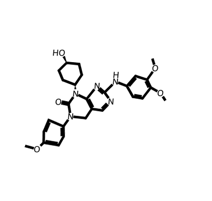 COc1ccc(N2Cc3cnc(Nc4ccc(OC)c(OC)c4)nc3N([C@H]3CC[C@H](O)CC3)C2=O)cc1